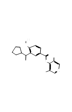 COc1ccc(C(=O)Nc2c(Cl)cncc2Cl)cc1C(F)C1CCCC1